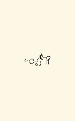 Clc1ccc(C2(Cn3cnc(-c4ccc[nH]4)n3)OCCO2)c(Cl)c1